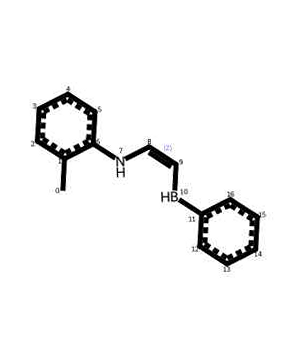 Cc1ccccc1N/C=C\Bc1ccccc1